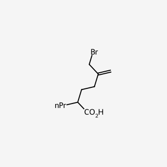 C=C(CBr)CCC(CCC)C(=O)O